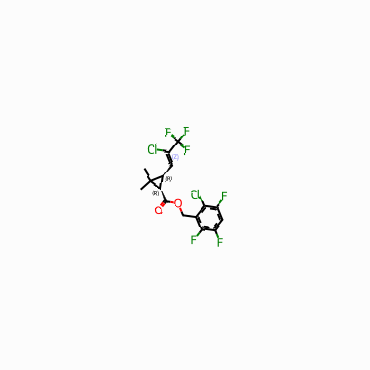 CC1(C)[C@H](C(=O)OCc2c(F)c(F)cc(F)c2Cl)[C@@H]1/C=C(\Cl)C(F)(F)F